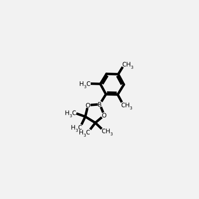 Cc1cc(C)c(B2OC(C)(C)C(C)(C)O2)c(C)c1